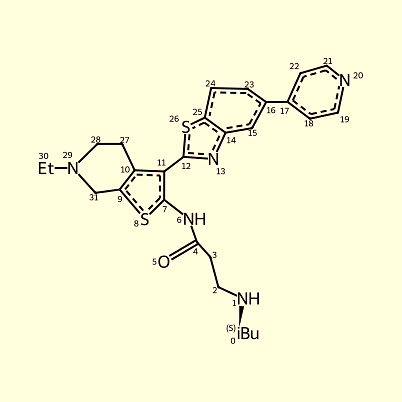 CC[C@H](C)NCCC(=O)Nc1sc2c(c1-c1nc3cc(-c4ccncc4)ccc3s1)CCN(CC)C2